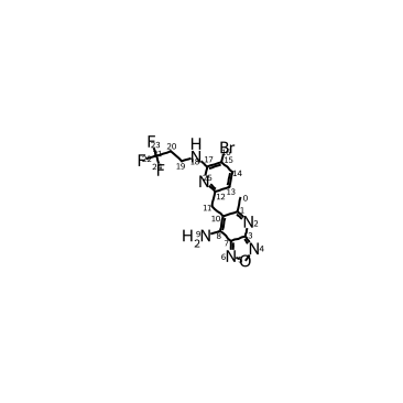 Cc1nc2nonc2c(N)c1Cc1ccc(Br)c(NCCC(F)(F)F)n1